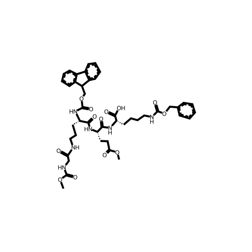 COC(=O)CC[C@H](NC(=O)[C@H](CCCNC(=O)CNC(=O)OC)NC(=O)OCC1c2ccccc2-c2ccccc21)C(=O)N[C@@H](CCCCNC(=O)OCc1ccccc1)C(=O)O